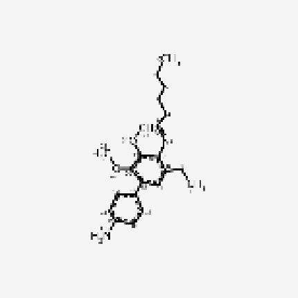 CCCCCC=Nc1c(CC)cc(-c2ccc(N)cc2)c(OC)c1OC